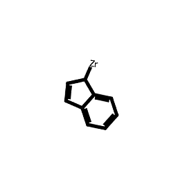 [Zr][CH]1C=Cc2ccccc21